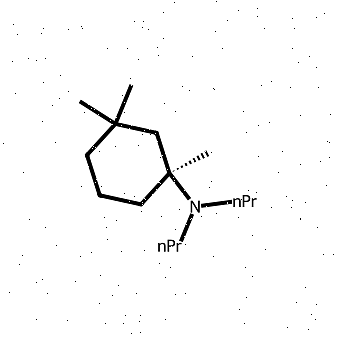 CCCN(CCC)[C@@]1(C)CCCC(C)(C)C1